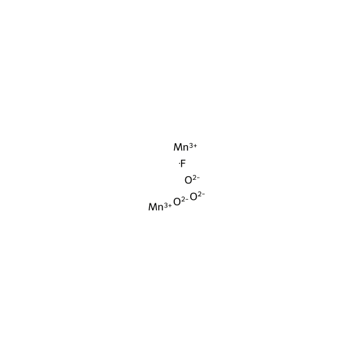 [F].[Mn+3].[Mn+3].[O-2].[O-2].[O-2]